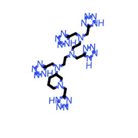 C1CC(N(CCN(CCN(Cc2nnn[nH]2)Cc2nnn[nH]2)Cc2nnn[nH]2)Cc2nnn[nH]2)CN(Cc2nnn[nH]2)C1